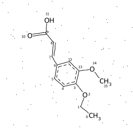 CCOc1ccc(C=CC(=O)O)cc1OC